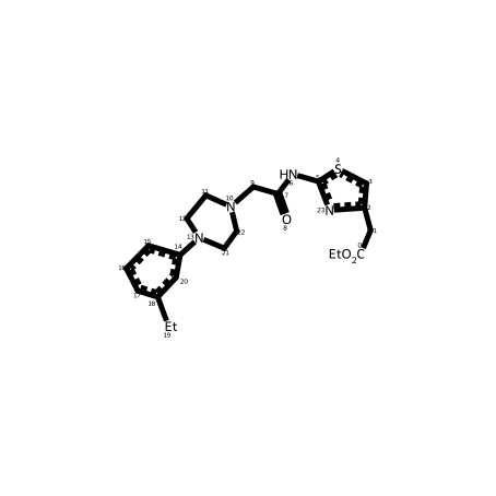 CCOC(=O)Cc1csc(NC(=O)CN2CCN(c3cccc(CC)c3)CC2)n1